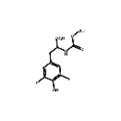 CC(C)(C)OC(=O)NC(Cc1cc(F)c(O)c(F)c1)C(=O)O